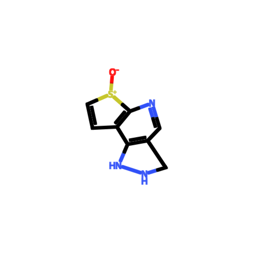 [O-][s+]1ccc2c3c(cnc21)CNN3